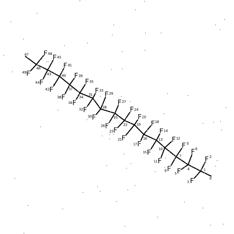 CC(F)(F)C(F)(F)C(F)(F)C(F)(F)C(F)(F)C(F)(F)C(F)(F)C(F)(F)C(F)(F)C(F)(F)C(F)(F)C(F)(F)C(F)(F)C(F)(F)C(F)(F)C(C)(F)F